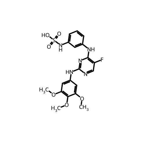 COc1cc(Nc2ncc(F)c(Nc3cccc(NS(=O)(=O)O)c3)n2)cc(OC)c1OC